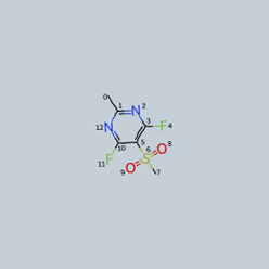 Cc1nc(F)c(S(C)(=O)=O)c(F)n1